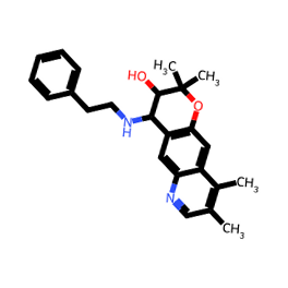 Cc1cnc2cc3c(cc2c1C)OC(C)(C)C(O)C3NCCc1ccccc1